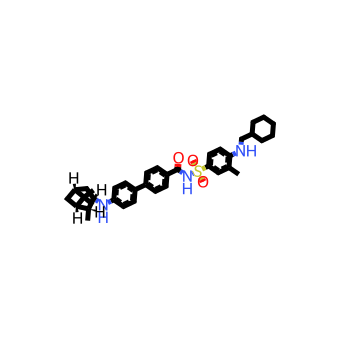 Cc1cc(S(=O)(=O)NC(=O)c2ccc(-c3ccc(N[C@H]4C[C@H]5C[C@@H]([C@@H]4C)C5(C)C)cc3)cc2)ccc1NCC1CCCCC1